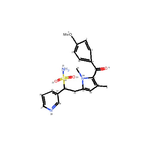 COc1ccc(C(=O)c2c(C)cc(CC(c3cccnc3)S(N)(=O)=O)n2C)cc1